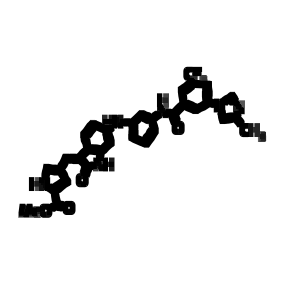 COC(=O)c1cc(C=C2C(=O)Nc3cc(Nc4cccc(NC(=O)c5cc(-n6cnc(C)c6)cc(C(F)(F)F)c5)c4)ccc32)c[nH]1